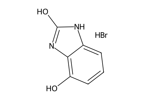 Br.Oc1nc2c(O)cccc2[nH]1